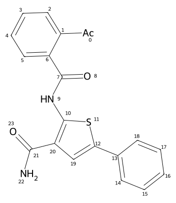 CC(=O)c1ccccc1C(=O)Nc1sc(-c2ccccc2)cc1C(N)=O